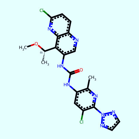 CO[C@@H](C)c1c(NC(=O)Nc2cc(Cl)c(-n3nccn3)nc2C)cnc2ccc(Cl)nc12